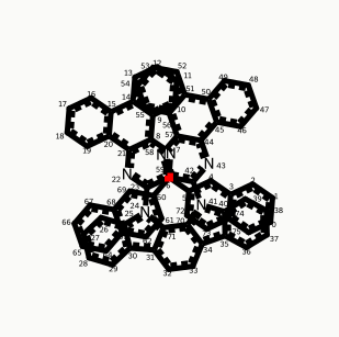 c1ccc2cc(-c3nc4c5ccccc5c5ccccc5c4nc3-n3c4ccccc4c4ccc5c6ccccc6n(-c6nc7c8ccccc8c8ccccc8c7nc6-c6ccc7ccccc7c6)c5c43)ccc2c1